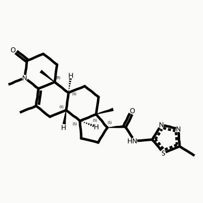 CC1=C2N(C)C(=O)CC[C@]2(C)[C@H]2CC[C@]3(C)[C@@H](C(=O)Nc4nnc(C)s4)CC[C@H]3[C@@H]2C1